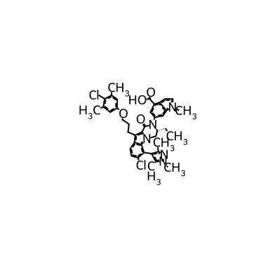 CC[C@@H]1Cn2c(c(CCCOc3cc(C)c(Cl)c(C)c3)c3ccc(Cl)c(-c4c(C)nn(C)c4C)c32)C(=O)N1c1cc(C(=O)O)c2ccn(C)c2c1